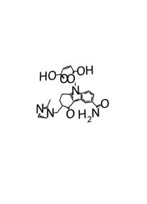 Cc1nccn1CC1CCc2c(c3cc(C(N)=O)ccc3n2C)C1=O.O=C(O)/C=C\C(=O)O